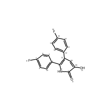 O=c1[nH]c(-c2ccc(F)cc2)c(-c2ccc(F)cc2)cc1O